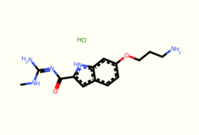 CNC(N)=NC(=O)c1cc2ccc(OCCCN)cc2[nH]1.Cl